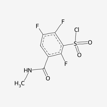 CNC(=O)c1cc(F)c(F)c(S(=O)(=O)Cl)c1F